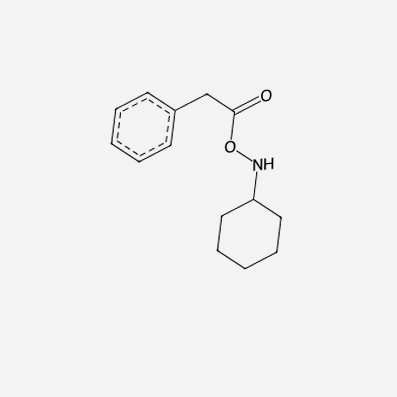 O=C(Cc1ccccc1)ONC1CCCCC1